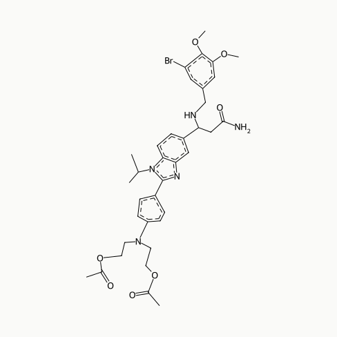 COc1cc(CNC(CC(N)=O)c2ccc3c(c2)nc(-c2ccc(N(CCOC(C)=O)CCOC(C)=O)cc2)n3C(C)C)cc(Br)c1OC